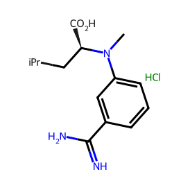 CC(C)C[C@@H](C(=O)O)N(C)c1cccc(C(=N)N)c1.Cl